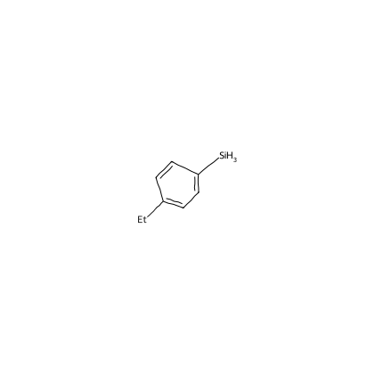 CCc1ccc([SiH3])cc1